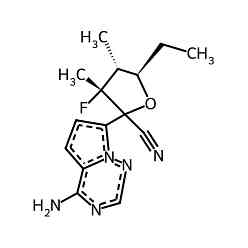 CC[C@H]1OC(C#N)(c2ccc3c(N)ncnn23)[C@](C)(F)[C@@H]1C